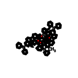 Cc1ccccc1N(c1ccccc1)c1ccc2c3c(ccc2c1)-c1ccc2cc(N(c4ccccc4)c4ccccc4Cc4cccc(N(c5ccccc5)c5ccc6c7c(ccc6c5)-c5ccc6cc(N(c8ccccc8)c8ccccc8)ccc6c5C75c6ccccc6-c6c5ccc5ccccc65)c4)ccc2c1C31c2ccccc2-c2c1ccc1ccccc21